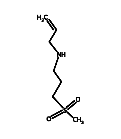 C=CCNCCCS(C)(=O)=O